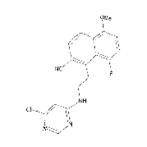 COc1ccc(F)c2c(CCNc3cc(Cl)ncn3)c(C#N)ccc12